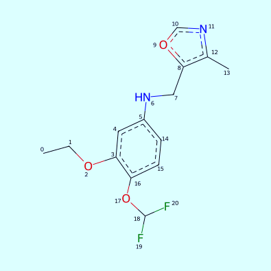 CCOc1cc(NCc2ocnc2C)ccc1OC(F)F